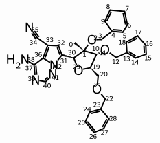 C[C@@]1(OCc2ccccc2)[C@H](OCc2ccccc2)[C@@H](COCc2ccccc2)O[C@H]1c1cc(C#N)c2c(N)ncnn12